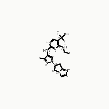 CCNc1nc(Nc2cn([C@@H]3Cc4nccn4C3)nc2C)ncc1C(F)(F)F